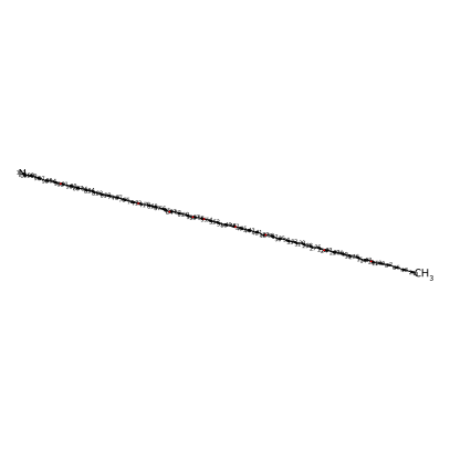 CC#CC#CC#CC#CC#CC#CC#CC#CC#CC#CC#CC#CC#CC#CC#CC#CC#CC#CC#CC#CC#CC#CC#CC#CC#CC#CC#CC#CC#CC#CC#CC#CC#CC#CC#CC#CC#CC#CC#CC#CC#CC#CC#CC#CC#CC#CC#CC#CC#CC#CC#N